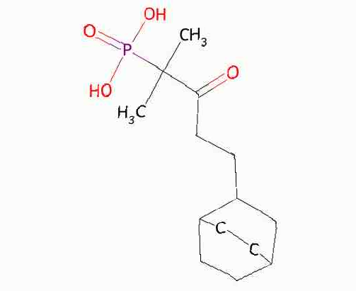 CC(C)(C(=O)CCC1CC2CCC1CC2)P(=O)(O)O